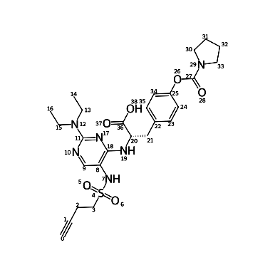 C#CCCS(=O)(=O)Nc1cnc(N(CC)CC)nc1N[C@@H](Cc1ccc(OC(=O)N2CCCC2)cc1)C(=O)O